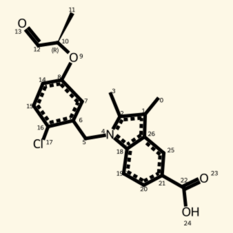 Cc1c(C)n(Cc2cc(O[C@H](C)C=O)ccc2Cl)c2ccc(C(=O)O)cc12